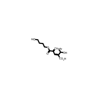 C=C(C=C(C(=O)O)C(O)CCC)C(=O)OCCCCO